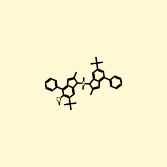 COc1c(C(C)(C)C)cc2c(c1-c1ccccc1)C=C(C)C2S(C)(C)C1C(C)=Cc2c(-c3ccccc3)cc(C(C)(C)C)cc21